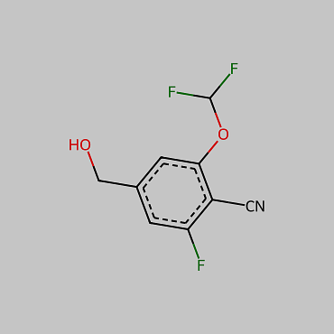 N#Cc1c(F)cc(CO)cc1OC(F)F